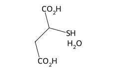 O.O=C(O)CC(S)C(=O)O